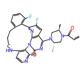 C=CC(=O)N1C[C@H](C)N(c2nc(=O)n3c4nc(c(F)cc24)-c2c(F)cccc2CCCNc2ccnc(C(C)C)c2-3)C[C@H]1C